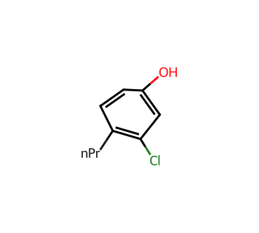 CCCc1ccc(O)cc1Cl